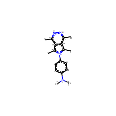 CCN(CC)c1ccc(-n2c(C)c3c(C)nnc(C)c3c2C)cc1